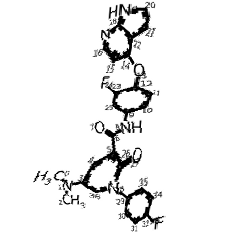 CN(C)c1cc(C(=O)Nc2ccc(Oc3ccnc4[nH]ccc34)c(F)c2)c(=O)n(-c2ccc(F)cc2)c1